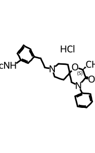 CC(=O)Nc1cccc(CCN2CCC3(CC2)CN(c2ccccc2)C(=O)[C@H](C)O3)c1.Cl